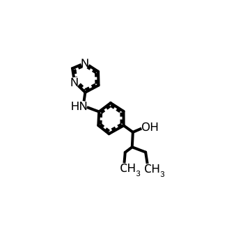 CCC(CC)C(O)c1ccc(Nc2ccncn2)cc1